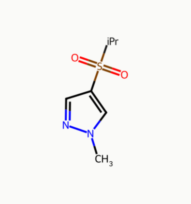 CC(C)S(=O)(=O)c1cnn(C)c1